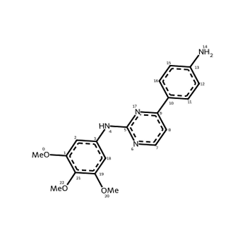 COc1cc(Nc2nccc(-c3ccc(N)cc3)n2)cc(OC)c1OC